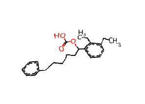 CCc1cccc(C(CCCCCc2ccccc2)OC(=O)O)c1CC